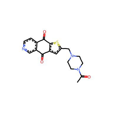 CC(=O)N1CCN(Cc2cc3c(s2)C(=O)c2ccncc2C3=O)CC1